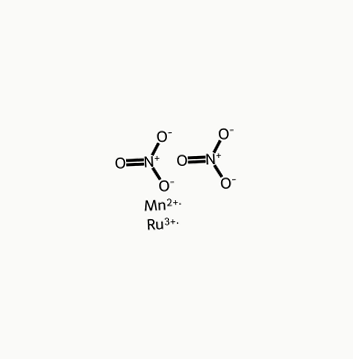 O=[N+]([O-])[O-].O=[N+]([O-])[O-].[Mn+2].[Ru+3]